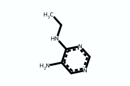 CCNc1ncncc1N